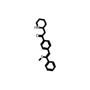 CSC(=Cc1ccc(C(=O)CC2CCCCN2)cc1)c1ccccc1